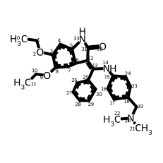 CCOc1cc2c(cc1OCC)/C(=C(/Nc1ccc(CN(C)C)cc1)c1ccccc1)C(=O)N2